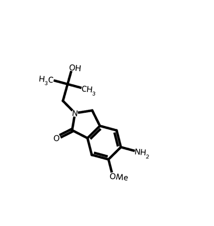 COc1cc2c(cc1N)CN(CC(C)(C)O)C2=O